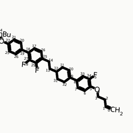 C=CCCOc1ccc(C2=CCC(CCc3ccc(-c4ccc(OCCCC)cc4)c(F)c3F)CC2)cc1F